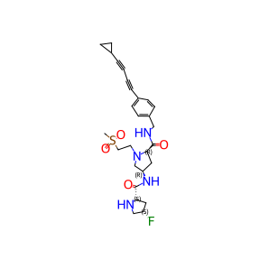 CS(=O)(=O)CCN1C[C@H](NC(=O)[C@@H]2C[C@H](F)CN2)C[C@@H]1C(=O)NCc1ccc(C#CC#CC2CC2)cc1